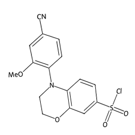 COc1cc(C#N)ccc1N1CCOc2cc(S(=O)(=O)Cl)ccc21